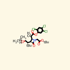 C[C@@H](C(=O)Oc1cc(Cl)c(Cl)cc1Cl)[C@@H]1[C@H]([C@@H](CO[SiH](C)C)C(C)(C)C)C(=O)N1CC(=O)OC(C)(C)C